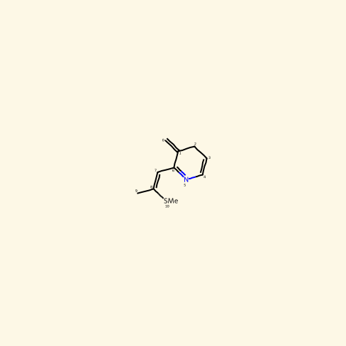 C=C1CC=CN=C1/C=C(/C)SC